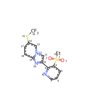 CCS(=O)(=O)c1cccnc1-c1cn2cc(SC(F)(F)F)ccc2n1